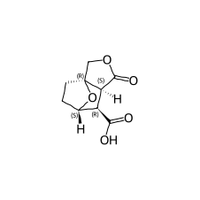 O=C(O)[C@H]1[C@@H]2CC[C@@]3(COC(=O)[C@@H]13)O2